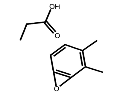 CCC(=O)O.Cc1ccc2c(c1C)O2